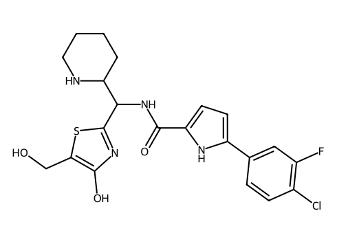 O=C(NC(c1nc(O)c(CO)s1)C1CCCCN1)c1ccc(-c2ccc(Cl)c(F)c2)[nH]1